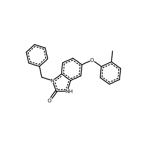 Cc1ccccc1Oc1ccc2c(c1)[nH]c(=O)n2Cc1ccccc1